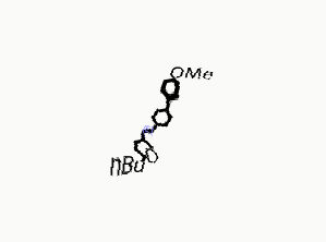 CCCCC1CCC(/C=C/C2CCC(c3ccc(OC)cc3)CC2)CO1